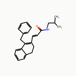 CC(C)CNC(=O)/C=C/C1=C(Cc2ccccc2)c2ccccc2CC1